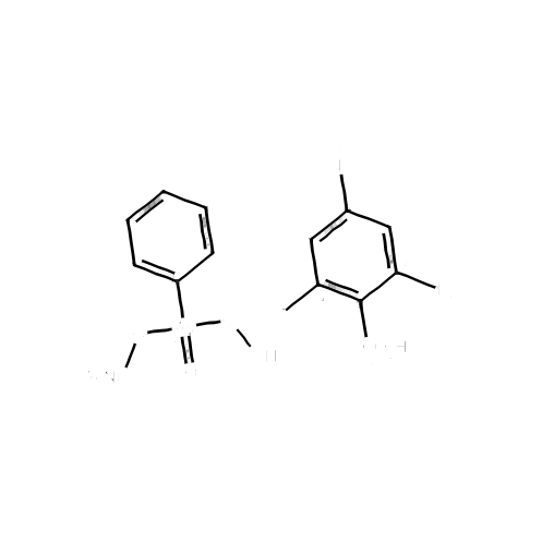 CC(=O)NO[As](=O)(OO)c1ccccc1.O=C(O)c1c(I)cc(I)cc1I